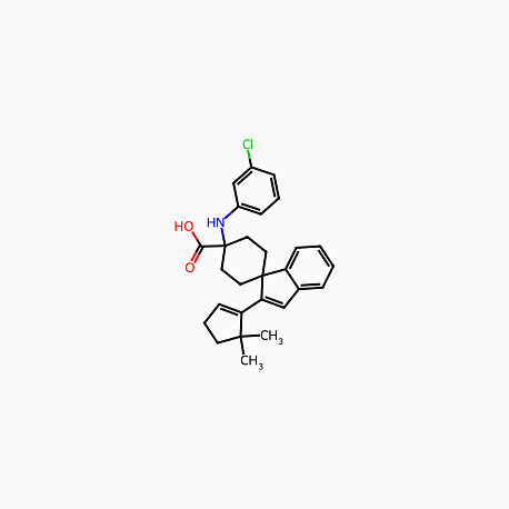 CC1(C)CCC=C1C1=Cc2ccccc2C12CCC(Nc1cccc(Cl)c1)(C(=O)O)CC2